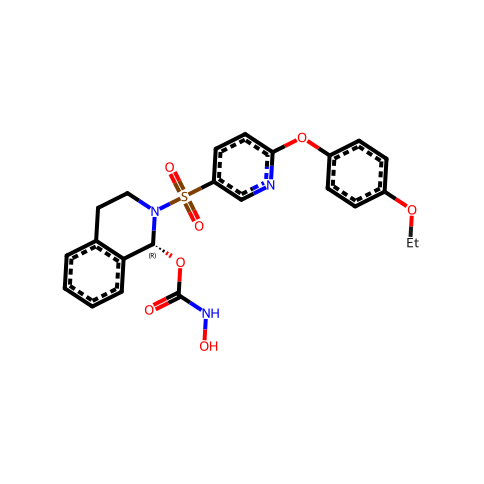 CCOc1ccc(Oc2ccc(S(=O)(=O)N3CCc4ccccc4[C@H]3OC(=O)NO)cn2)cc1